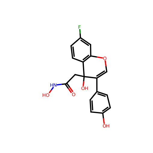 O=C(CC1(O)C(c2ccc(O)cc2)=COc2cc(F)ccc21)NO